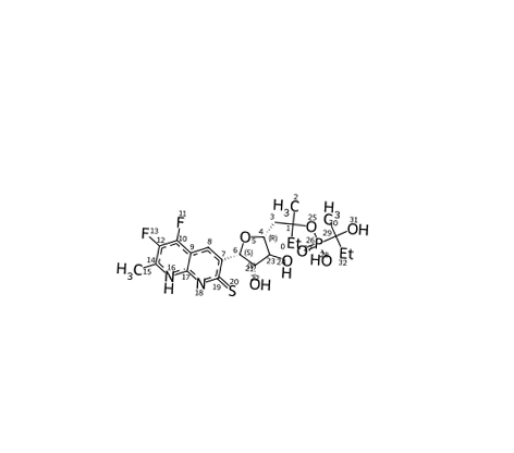 CCC(C)(C[C@H]1O[C@@H](c2cc3c(F)c(F)c(C)[nH]c-3nc2=S)[C@@H](O)C1O)OP(=O)(O)C(C)(O)CC